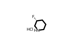 Cl.F[C@@H]1CCCNC1